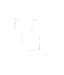 CC1CCC(CN)C(N)C1